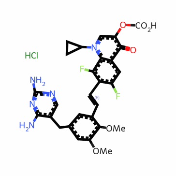 COc1cc(Cc2cnc(N)nc2N)cc(/C=C/c2c(F)cc3c(=O)c(OC(=O)O)cn(C4CC4)c3c2F)c1OC.Cl